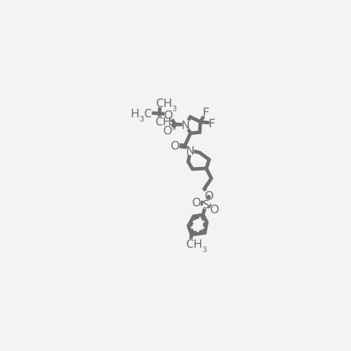 Cc1ccc(S(=O)(=O)OCCC2CCN(C(=O)C3CC(F)(F)CN3C(=O)OC(C)(C)C)CC2)cc1